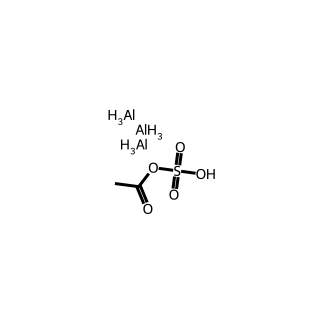 CC(=O)OS(=O)(=O)O.[AlH3].[AlH3].[AlH3]